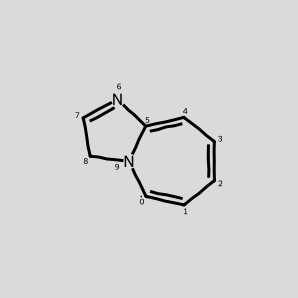 [C]1=CC=CC=C2N=CCN12